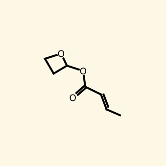 CC=CC(=O)OC1CCO1